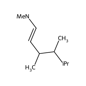 CN/C=C/C(C)C(C)C(C)C